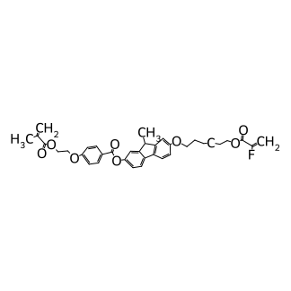 C=C(C)C(=O)OCCOc1ccc(C(=O)Oc2ccc3c(c2)C(C)c2cc(OCCCCCCOC(=O)C(=C)F)ccc2-3)cc1